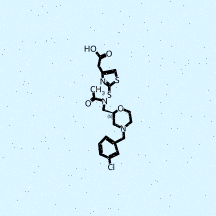 CC(=O)N(C[C@@H]1CN(Cc2cccc(Cl)c2)CCO1)Sc1nc(CC(=O)O)cs1